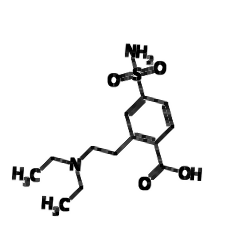 CCN(CC)CCc1cc(S(N)(=O)=O)ccc1C(=O)O